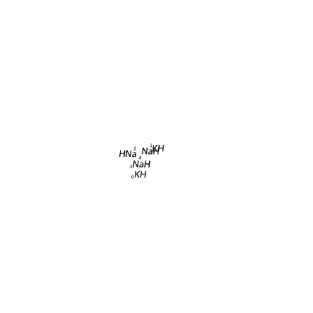 [KH].[KH].[NaH].[NaH].[NaH]